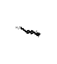 CCCCCCCC1CCC(C2CCC(CCc3cc(F)c(F)nc3F)CC2)CC1